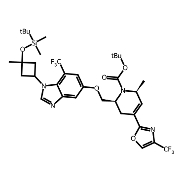 C[C@H]1C=C(c2nc(C(F)(F)F)co2)C[C@@H](COc2cc(C(F)(F)F)c3c(c2)ncn3C2CC(C)(O[Si](C)(C)C(C)(C)C)C2)N1C(=O)OC(C)(C)C